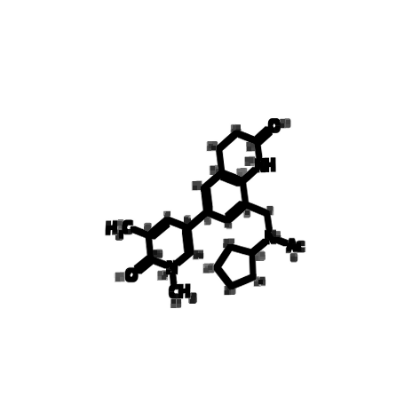 CC(=O)N(Cc1cc(-c2cc(C)c(=O)n(C)c2)cc2c1NC(=O)CC2)C1CCCC1